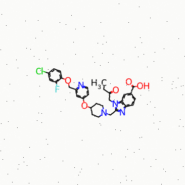 CCC(=O)Cn1c(CN2CCC(Oc3ccnc(COc4ccc(Cl)cc4F)c3)CC2)nc2ccc(C(=O)O)cc21